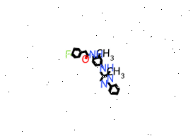 Cc1cc(NCc2cnc(-c3ccccc3)nc2C)ccc1NC(=O)Cc1ccc(F)cc1